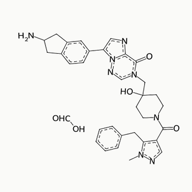 Cn1ncc(C(=O)N2CCC(O)(Cn3cnn4c(-c5ccc6c(c5)CC(N)C6)cnc4c3=O)CC2)c1Cc1ccccc1.O=CO